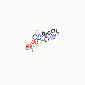 CCc1nc2c(F)ccc(OCC(=O)OC)c2c(OC(F)F)c1Cc1ccc(-n2ccnc2C(C)C)cc1